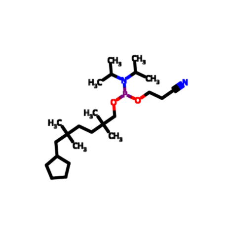 CC(C)N(C(C)C)P(OCCC#N)OCC(C)(C)CCC(C)(C)CC1CCCC1